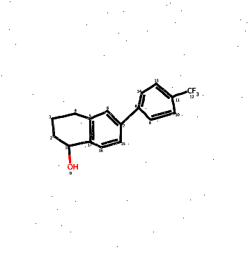 OC1CCCc2cc(-c3ccc(C(F)(F)F)cc3)ccc21